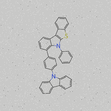 c1ccc(-n2c3sc4ccccc4c3c3cccc(-c4ccc(-n5c6ccccc6c6ccccc65)cc4)c32)cc1